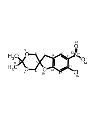 CC1(C)OCC2(CO1)Cc1cc([N+](=O)[O-])c(Cl)cc1O2